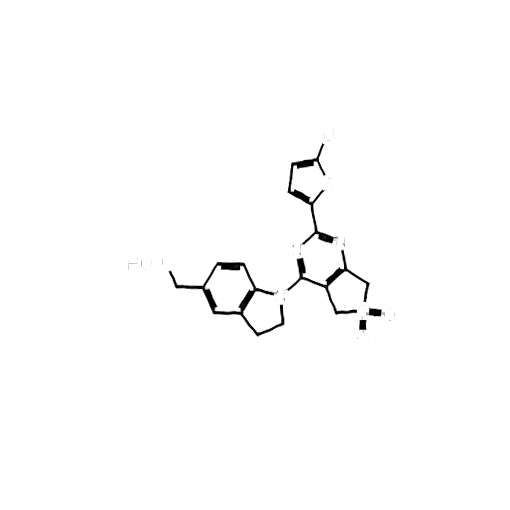 O=C(O)Cc1ccc2c(c1)CCN2c1nc(-c2ccc(Cl)s2)nc2c1CS(=O)(=O)C2